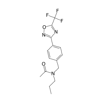 CCCN(Cc1ccc(-c2noc(C(F)(F)F)n2)cc1)C(C)=O